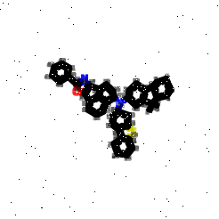 CC1(C)c2ccccc2-c2ccc(N(c3ccc4c(c3)sc3ccccc34)c3ccc4c5c(cccc35)-c3oc(-c5ccccc5)nc3-4)cc21